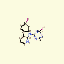 Ic1ccc2c3cccnc3n(-c3ncnc(I)n3)c2c1